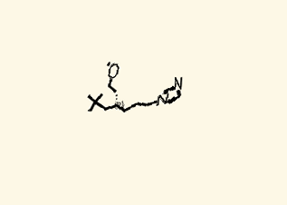 COCC[C@H](CCCn1ccnc1)CC(C)(C)C